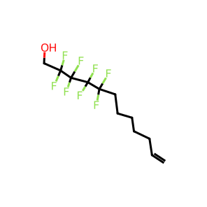 C=CCCCCCC(F)(F)C(F)(F)C(F)(F)C(F)(F)CO